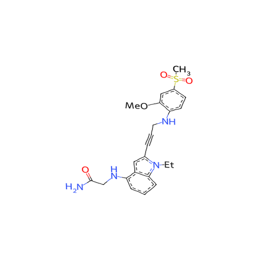 CCn1c(C#CCNc2ccc(S(C)(=O)=O)cc2OC)cc2c(NCC(N)=O)cccc21